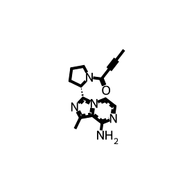 CC#CC(=O)N1CCC[C@H]1c1nc(C)c2c(N)nccn12